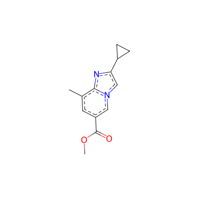 COC(=O)c1cc(C)c2nc(C3CC3)cn2c1